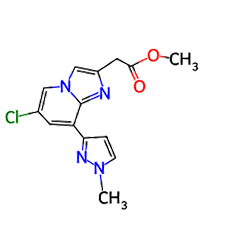 COC(=O)Cc1cn2cc(Cl)cc(-c3ccn(C)n3)c2n1